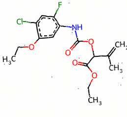 C=C(C)C(OC(=O)Nc1cc(OCC)c(Cl)cc1F)C(=O)OCC